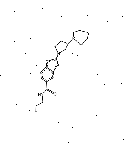 O=C(NCCF)c1ccc2nc(N3CCC(N4CCCCC4)C3)sc2c1